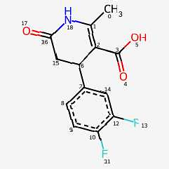 CC1=C(C(=O)O)C(c2ccc(F)c(F)c2)CC(=O)N1